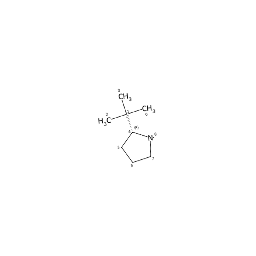 CC(C)(C)[C@H]1CCC[N]1